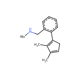 CC1=CCC(c2ccccc2CNC(C)(C)C)=C1C